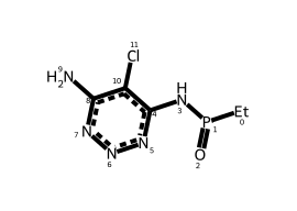 CC[P](=O)Nc1nnnc(N)c1Cl